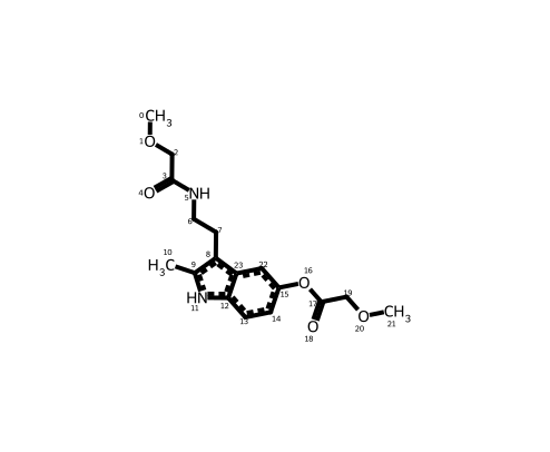 COCC(=O)NCCc1c(C)[nH]c2ccc(OC(=O)COC)cc12